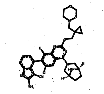 N#Cc1c(N)[se]c2cccc(-c3c(Cl)cc4c(N5C[C@H]6CC[C@@H](C5)N6)nc(OCC5(CN6CCOCC6)CC5)nc4c3F)c12